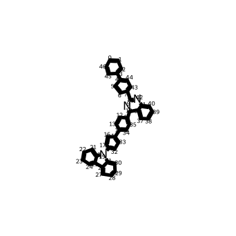 c1ccc(-c2ccc(-c3nc(-c4ccc(-c5ccc(-n6c7ccccc7c7ccccc76)cc5)cc4)c4ccccc4n3)cc2)cc1